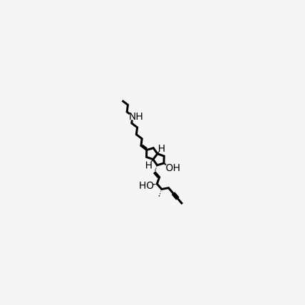 CC#CC[C@H](C)[C@H](O)/C=C/[C@@H]1[C@H]2C/C(=C/CCCCNCCC)C[C@H]2C[C@H]1O